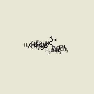 CC(C)(C)OC(=O)N1C[C@@H](CCC(CCC(C2CC2)C2CC2)Nc2cccc(S(=O)(=O)NC(=O)c3ccc(C(C)(C)C)nc3F)n2)CC1(C)C